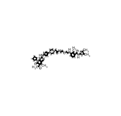 CC(=O)c1c(C)c2cnc(Nc3ccc(N4CCN(CC(=O)NCCOCCNc5cccc(C(=O)NC6=NC(C)C(C)S6)c5C)CC4)cn3)nc2n(C2CCCC2)c1=O